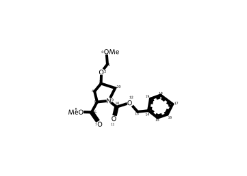 COCOC1CC(C(=O)OC)N(C(=O)OCc2ccccc2)C1